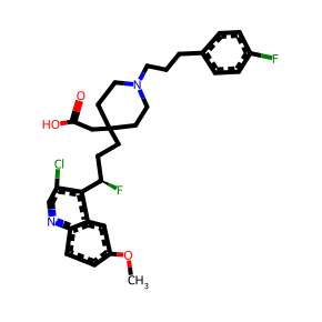 COc1ccc2ncc(Cl)c([C@H](F)CCC3(CC(=O)O)CCN(CCCc4ccc(F)cc4)CC3)c2c1